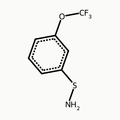 NSc1cccc(OC(F)(F)F)c1